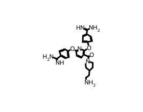 N=C(N)c1ccc(Oc2ccc(C(=O)N3CCC(CCN)CC3)c(Oc3ccc(C(=N)N)cc3)n2)cc1